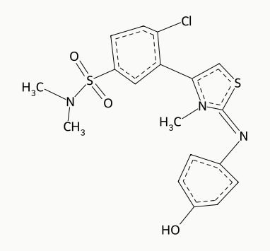 CN(C)S(=O)(=O)c1ccc(Cl)c(-c2csc(=Nc3ccc(O)cc3)n2C)c1